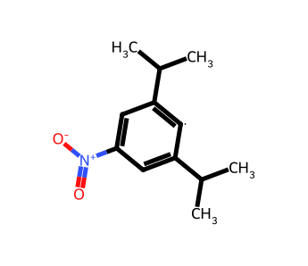 CC(C)c1[c]c(C(C)C)cc([N+](=O)[O-])c1